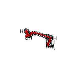 CC[C@@]1(O)C(=O)OCc2c1cc1n(c2=O)Cc2c-1nc1ccc(O)cc1c2[Si](C)(C)O[Si](C)(C)CSc1ncc(Cn2cc(COCCOCCOCCOCCOCCOCCNC(=O)CCC(NC(=O)c3ccc(NCc4cnc5nc(N)[nH]c(=O)c5n4)cc3)C(=O)O)nn2)cn1